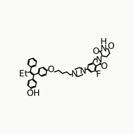 CCC(=C(c1ccc(O)cc1)c1ccc(OCCCCCN2CCN(c3cc(F)c4c(c3)CN(C3CCC(=O)NC3=O)C4=O)CC2)cc1)c1ccccc1